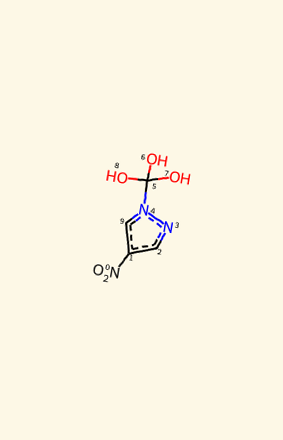 O=[N+]([O-])c1cnn(C(O)(O)O)c1